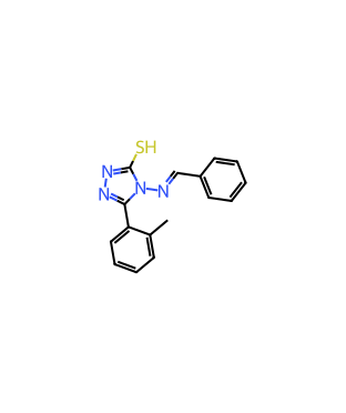 Cc1ccccc1-c1nnc(S)n1N=Cc1ccccc1